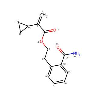 C=C(C(=O)OCCc1ccccc1C(N)=O)C1CC1